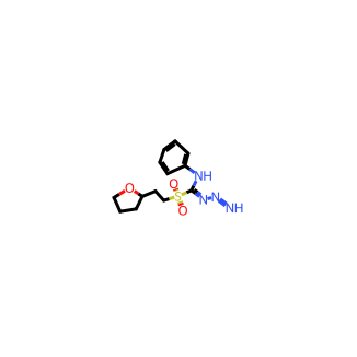 N=N/N=C(\Nc1ccccc1)S(=O)(=O)CCC1CCCO1